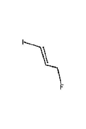 FCC=CI